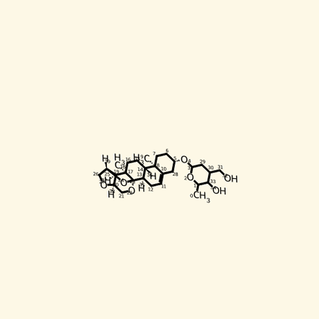 CC1OC(O[C@H]2CC[C@@]3(C)C(=CC[C@@H]4[C@@H]3CC[C@]3(C)[C@H]5[C@H]6CO[C@@]43O[C@@H]5CO6)C2)CC(CO)C1O